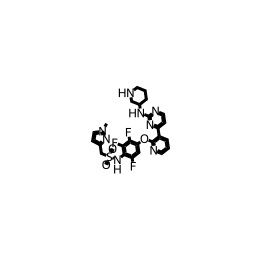 Cn1ccc(CS(=O)(=O)Nc2c(F)cc(Oc3ncccc3-c3ccnc(NC4CCCNC4)n3)c(F)c2F)n1